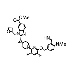 CNc1ccc(COc2nc(N3CCC4(CC3)CC4c3nc4ccc(C(=O)OC)cc4n3CC3CCO3)c(F)cc2F)cc1C=N